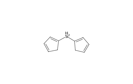 C1=CCC([SiH2]C2=CC=CC2)=C1